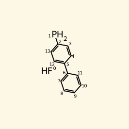 F.Pc1ccc(-c2ccccc2)cc1